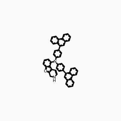 C1=Cc2c(oc3cccc(N(c4ccc(-c5cc6ccccc6c6ccccc56)cc4)c4ccc(-c5cc6ccccc6c6ccccc56)cc4)c23)CN1